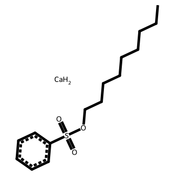 CCCCCCCCCOS(=O)(=O)c1ccccc1.[CaH2]